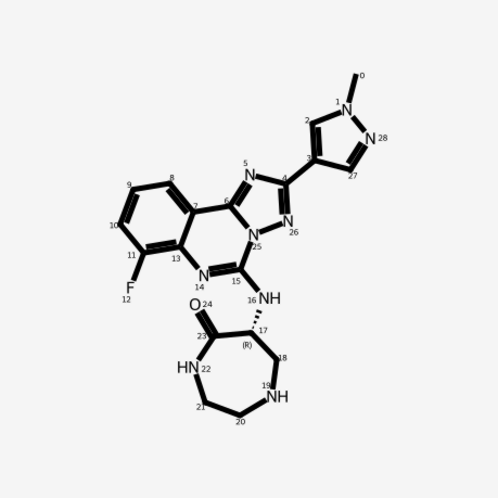 Cn1cc(-c2nc3c4cccc(F)c4nc(N[C@@H]4CNCCNC4=O)n3n2)cn1